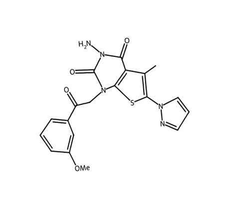 COc1cccc(C(=O)Cn2c(=O)n(N)c(=O)c3c(C)c(-n4cccn4)sc32)c1